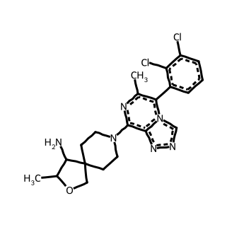 Cc1nc(N2CCC3(CC2)COC(C)C3N)c2nncn2c1-c1cccc(Cl)c1Cl